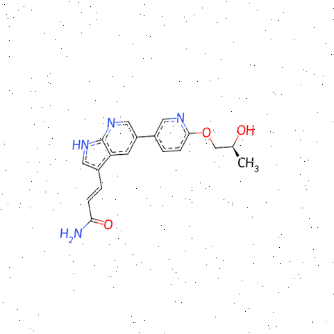 C[C@H](O)COc1ccc(-c2cnc3[nH]cc(/C=C/C(N)=O)c3c2)cn1